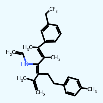 C=CNC(=C(/CCc1ccc(C)cc1)C(=C)C)/C(C)=C(\C)c1cccc(CC(F)(F)F)c1